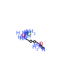 N=C(NCCCCc1ccc(-c2ccc(CCCNC(=O)[C@@H](N)Cc3ccncc3)cc2)cc1)NC(=O)c1nc(Cl)c(N)nc1N